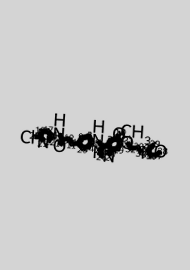 COc1cc2c(Nc3ccc(/C=C/C(=O)Nc4ccc(Cl)nc4)cc3)ncnc2cc1OCCCN1CCOCC1